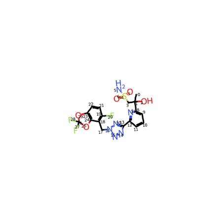 CC(O)(CS(N)(=O)=O)c1cccc(-c2nnn(Cc3c(F)ccc4c3OC(F)(F)O4)n2)n1